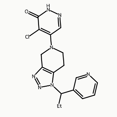 CCC(c1cccnc1)n1nnc2c1CCN(c1cn[nH]c(=O)c1Cl)C2